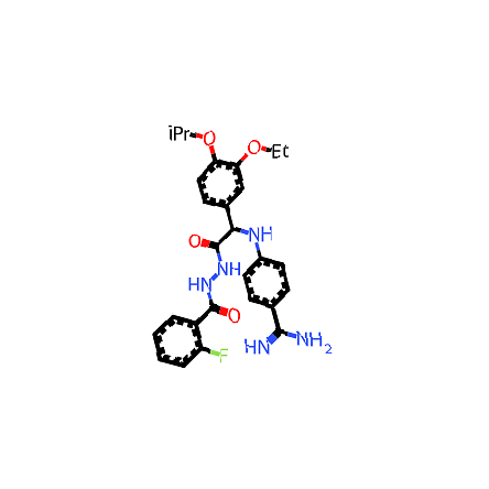 CCOc1cc(C(Nc2ccc(C(=N)N)cc2)C(=O)NNC(=O)c2ccccc2F)ccc1OC(C)C